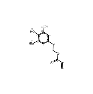 C=CC(=O)OCCc1cc(C(C)(C)C)c(O)c(C(C)(C)C)c1